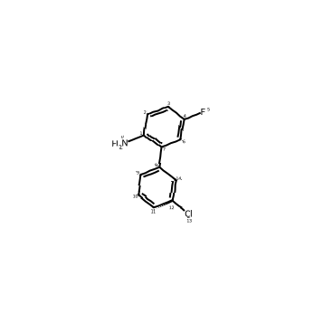 Nc1ccc(F)cc1-c1cccc(Cl)c1